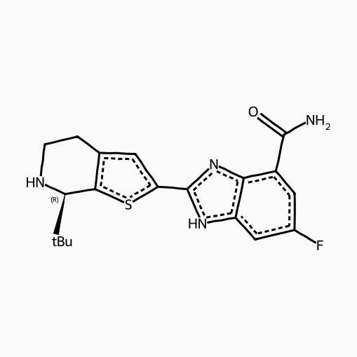 CC(C)(C)[C@H]1NCCc2cc(-c3nc4c(C(N)=O)cc(F)cc4[nH]3)sc21